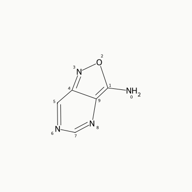 Nc1onc2cncnc12